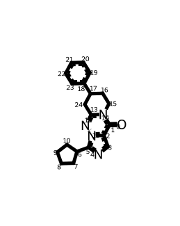 O=c1c2cnc(C3CCCC3)n2nc2n1CCC(c1ccccc1)C2